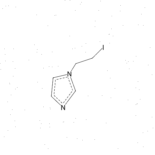 ICCn1ccnc1